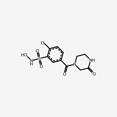 O=C1CN(C(=O)c2ccc(Cl)c(S(=O)(=O)NO)c2)CCN1